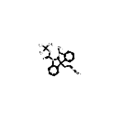 C=C=CCC1(c2ccccc2CC)C(=O)N(C(=O)OC(C)(C)C)c2ccccc21